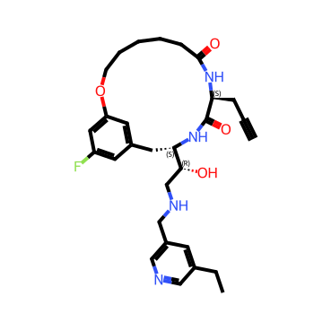 C#CC[C@@H]1NC(=O)CCCCCOc2cc(F)cc(c2)C[C@@H]([C@H](O)CNCc2cncc(CC)c2)NC1=O